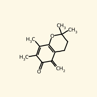 C=C1C(=O)C(C)=C(C)C2=C1CCC(C)(C)O2